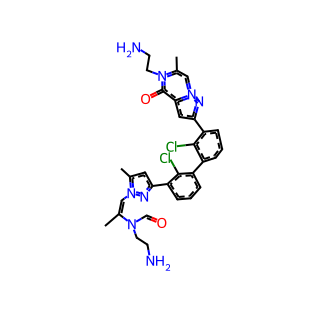 C/C(=C/n1nc(-c2cccc(-c3cccc(-c4cc5c(=O)n(CCN)c(C)cn5n4)c3Cl)c2Cl)cc1C)N(C=O)CCN